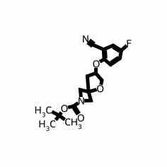 CC(C)(C)OC(=O)N1CC2(CC(Oc3ccc(F)cc3C#N)CO2)C1